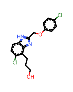 OCCCc1c(Cl)ccc2[nH]c(COc3ccc(Cl)cc3)nc12